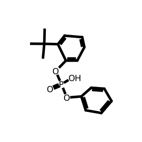 CC(C)(C)c1ccccc1OP(=O)(O)Oc1ccccc1